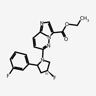 CCOC(=O)c1cnc2ccc(N3C[C@@H](F)CC3c3cccc(F)c3)nn12